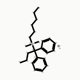 CCCCCC[N+](C)(C)C(CCC)(c1ccccc1)c1ccccc1.[Br-]